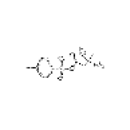 Cc1ccc(S(=O)(=O)OC(=O)CC(C)(N)N)cc1